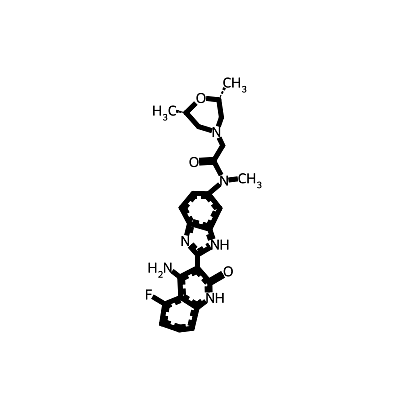 C[C@@H]1CN(CC(=O)N(C)c2ccc3nc(-c4c(N)c5c(F)cccc5[nH]c4=O)[nH]c3c2)C[C@H](C)O1